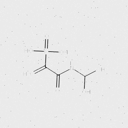 C=C(C(=O)NC(O)O)P(=O)(O)O